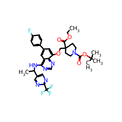 CCOC(=O)C1(COc2cc(-c3ccc(F)cc3)cc3c(NC(C)c4cnc(C(F)(F)F)nc4)ncnc23)CCN(C(=O)OC(C)(C)C)CC1